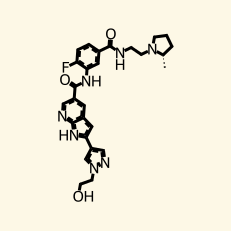 C[C@H]1CCCN1CCNC(=O)c1ccc(F)c(NC(=O)c2cnc3[nH]c(-c4cnn(CCO)c4)cc3c2)c1